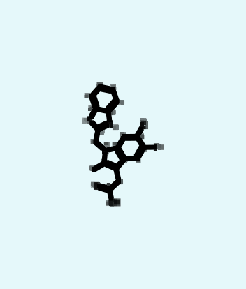 Cc1c(CC(=O)O)c2cc(F)c(Cl)cc2n1Cc1nc2ccccc2s1